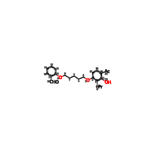 CCCc1c(OCCCCCOc2ccccc2C=O)ccc(C(C)=O)c1O